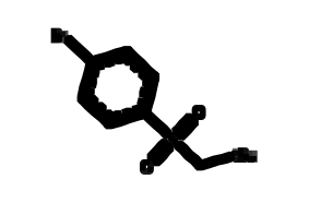 CC(C)(C)CS(=O)(=O)c1ccc(Br)cc1